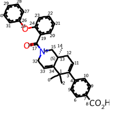 CC1(C)C(c2ccc(C(=O)O)cc2)=CC[C@]2(C)CN(C(=O)c3ccccc3Oc3ccccc3)CC=C12